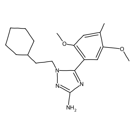 COc1cc(-c2nc(N)nn2CCC2CCCCC2)c(OC)cc1C